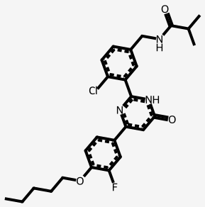 CCCCCOc1ccc(-c2cc(=O)[nH]c(-c3cc(CNC(=O)C(C)C)ccc3Cl)n2)cc1F